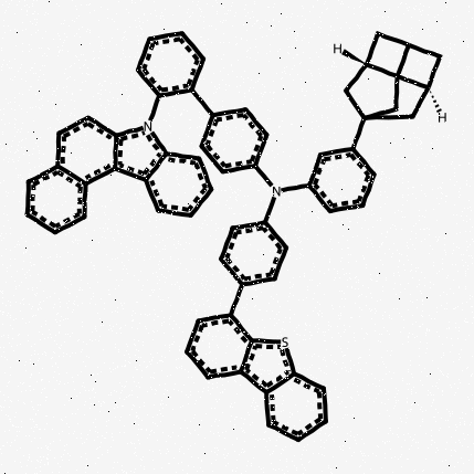 c1cc(N(c2ccc(-c3ccccc3-n3c4ccccc4c4c5ccccc5ccc43)cc2)c2ccc(-c3cccc4c3sc3ccccc34)cc2)cc(C23C[C@@H]4CC5C[C@@H](C2)C54C3)c1